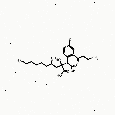 CCCCCCC(O)CC(O)(C(=O)O)C(C(=O)O)c1ccc(Cl)cc1C(=O)CCC